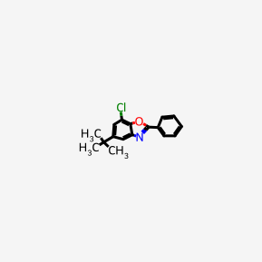 CC(C)(C)c1cc(Cl)c2oc(-c3ccccc3)nc2c1